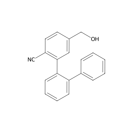 N#Cc1ccc(CO)cc1-c1ccccc1-c1ccccc1